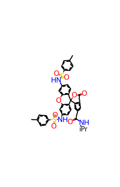 Cc1ccc(S(=O)(=O)Nc2ccc3c(c2)Oc2cc(NS(=O)(=O)c4ccc(C)cc4)ccc2C32OC(=O)c3ccc(C(=O)NC(C)C)cc32)cc1